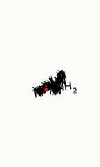 C#Cc1c(-c2cnc3ccccc3c2)c2c(N)ncnc2n1C12CCC(N3C=C(C)N=CC3)(CC1)C2